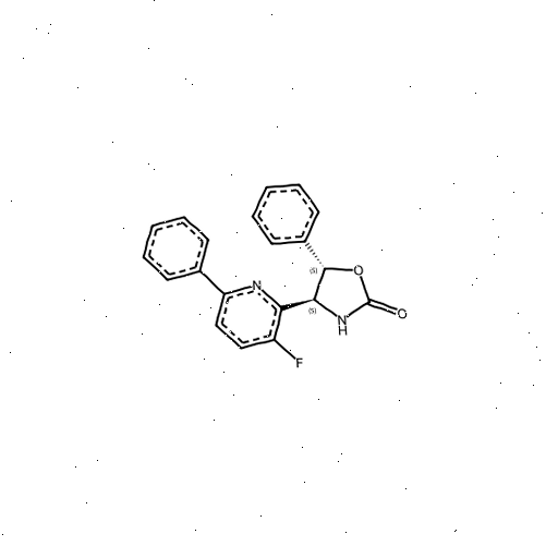 O=C1N[C@@H](c2nc(-c3ccccc3)ccc2F)[C@H](c2ccccc2)O1